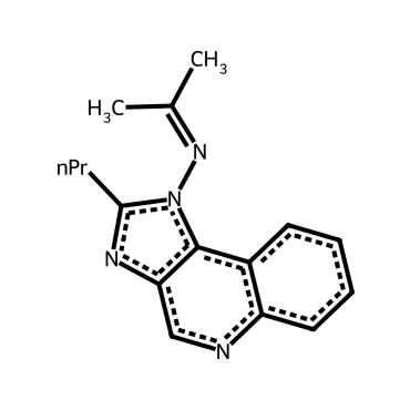 CCCc1nc2cnc3ccccc3c2n1N=C(C)C